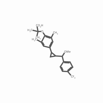 COC(c1ccc(C(F)(F)F)cc1)C1CC1c1cc(C)c(OC(C)(C)C(=O)O)c(C)c1